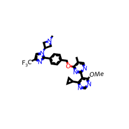 COc1ncnc(C2CC2)c1-c1ncc(C)c(OCc2ccc(-c3nc(C(F)(F)F)cn3C3CN(C)C3)cc2)n1